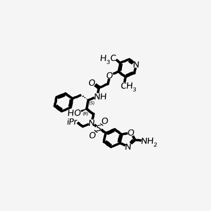 Cc1cncc(C)c1OCC(=O)N[C@@H](Cc1ccccc1)[C@H](O)CN(CC(C)C)S(=O)(=O)c1ccc2nc(N)oc2c1